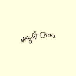 CC(C)(C)N1CCC(c2nc(C(=O)N=[N+]=[N-])cs2)CC1